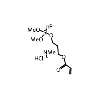 C=CC(=O)OCCCO[Si](CCC)(OC)OC.CNC.Cl